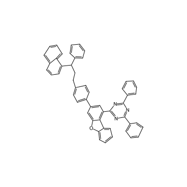 c1ccc(-c2nc(-c3ccccc3)nc(-c3cc(-c4ccc(CCC(c5ccccc5)c5cccc6ccccc56)cc4)cc4oc5ccccc5c34)n2)cc1